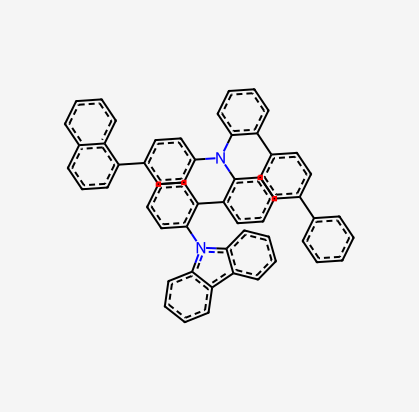 c1ccc(-c2ccc(-c3ccccc3N(c3ccc(-c4cccc5ccccc45)cc3)c3ccccc3-c3ccccc3-n3c4ccccc4c4ccccc43)cc2)cc1